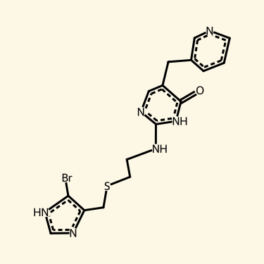 O=c1[nH]c(NCCSCc2nc[nH]c2Br)ncc1Cc1cccnc1